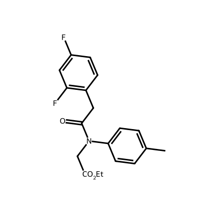 CCOC(=O)CN(C(=O)Cc1ccc(F)cc1F)c1ccc(C)cc1